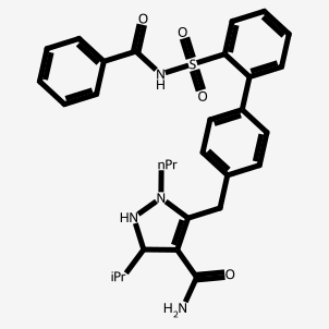 CCCN1NC(C(C)C)C(C(N)=O)=C1Cc1ccc(-c2ccccc2S(=O)(=O)NC(=O)c2ccccc2)cc1